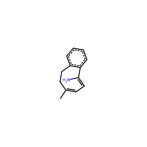 C/C1=C/C=C(\N)c2ccccc2CC1